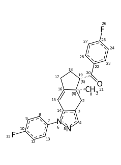 C[C@]12Cc3cnn(-c4ccc(F)cc4)c3C=C1CC[C@@H]2C(=O)c1ccc(F)cc1